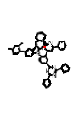 Cc1ccc(-c2ccc3c(c2)c2ccccc2n3-c2ccc(-c3nc(-c4ccccc4)nc(-c4ccccc4)n3)cc2-c2cc(-c3ccccc3)nc(-c3ccccc3)n2)c(C)c1